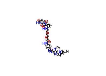 CC(C)Nc1cc(-c2ccc3cc(C#N)cnn23)ncc1-c1nnc([C@H]2CC[C@H](NC(=O)C=COCCOCCNc3cccc4c3C(=O)N(C3CCC(=O)NC3=O)C4=O)CC2)s1